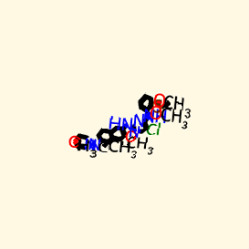 COc1cc2c(cc1Nc1ncc(Cl)c(Nc3ccccc3S(=O)(=O)C(C)C)n1)CC/C(=N\N1CCOCC1)C2(C)C